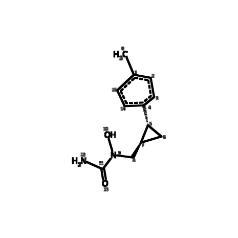 Cc1ccc([C@@H]2C[C@H]2CN(O)C(N)=O)cc1